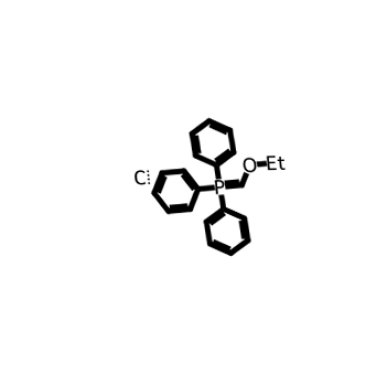 CCOC=P(c1ccccc1)(c1ccccc1)c1ccccc1.[C]